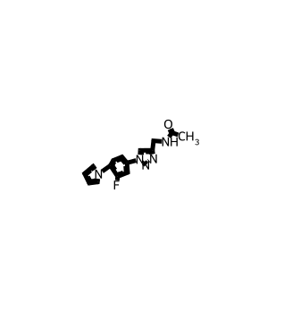 CC(=O)NCc1cn(-c2ccc(-n3cccc3)c(F)c2)nn1